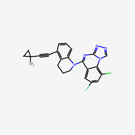 Fc1cc(Cl)c2c(c1)c(N1CCCc3c(C#CC4(C(F)(F)F)CC4)cccc31)nc1nncn12